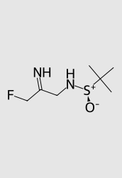 CC(C)(C)[S@@+]([O-])NCC(=N)CF